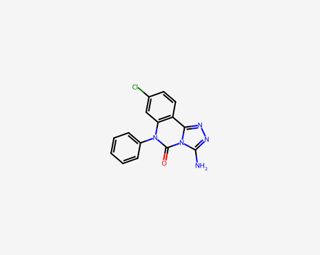 Nc1nnc2c3ccc(Cl)cc3n(-c3ccccc3)c(=O)n12